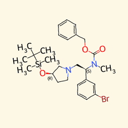 CN(C(=O)OCc1ccccc1)[C@H](CN1CC[C@@H](O[Si](C)(C)C(C)(C)C)C1)c1cccc(Br)c1